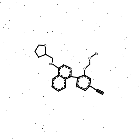 C#Cc1ccc(-c2nnc(NCC3CCCO3)c3ccccc23)c(OCOCC)c1